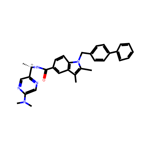 Cc1c(C)n(Cc2ccc(-c3ccccc3)cc2)c2ccc(C(=O)N[C@@H](C)c3cnc(N(C)C)cn3)cc12